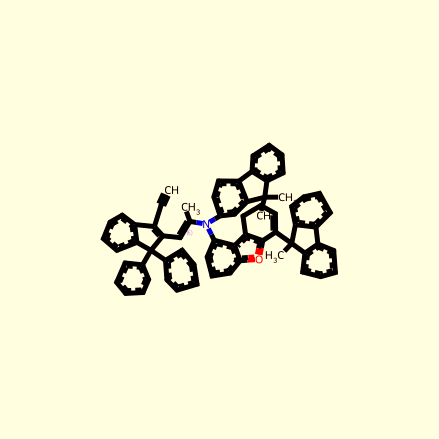 C#CC1=C(/C=C(\C)N(c2ccc3c(c2)C(C)(C)c2ccccc2-3)c2cccc3oc4c(c23)CCC=C4C2(C)c3ccccc3-c3ccccc32)C(c2ccccc2)(c2ccccc2)c2ccccc21